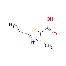 CCc1nc(C)c(C(=O)O)s1